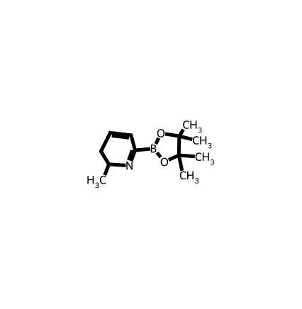 CC1CC=CC(B2OC(C)(C)C(C)(C)O2)=N1